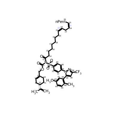 C=C(C)[C@@H]1CC=C(COC(=O)N(C(=O)CCCCCCC/C=C\C/C=C\CCCCC)S(=O)(=O)c2ccc(-n3nc(C(F)(F)F)cc3-c3cc(C)ccc3C)cc2)CC1